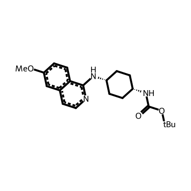 COc1ccc2c(N[C@H]3CC[C@@H](NC(=O)OC(C)(C)C)CC3)nccc2c1